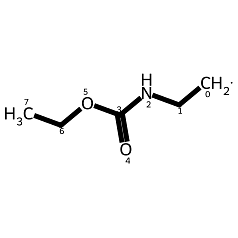 [CH2]CNC(=O)OCC